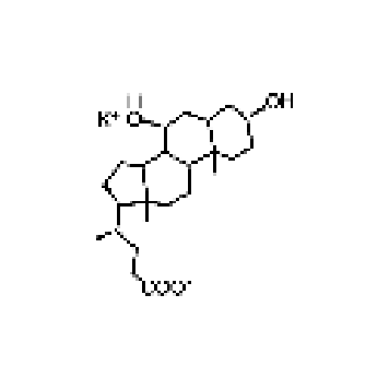 C[C@H](CCC(=O)[O-])[C@H]1CCC2C3C(CC[C@@]21C)[C@@]1(C)CC[C@H](O)CC1C[C@@H]3O.[K+]